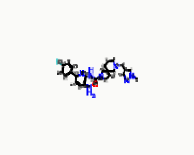 Cn1cc(CN2CCCC3(CCN(C(=O)Nc4nc(-c5ccc(F)cc5)ccc4N)C3)C2)cn1